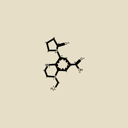 CCN1CCNc2c1cc(C(=O)O)cc2N1CCCC1=O